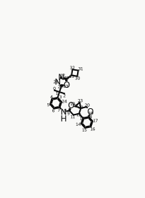 CC(C)(c1cccc(NC(=O)CC2c3ccccc3OCC23CC3)c1)c1nnc(C2CCC2)o1